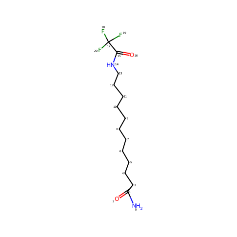 NC(=O)CCCCCCCCCCCNC(=O)C(F)(F)F